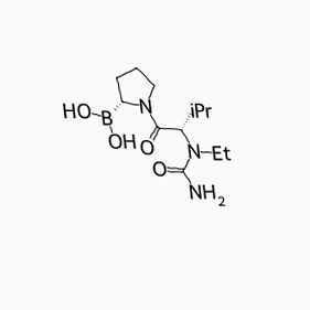 CCN(C(N)=O)[C@H](C(=O)N1CCC[C@H]1B(O)O)C(C)C